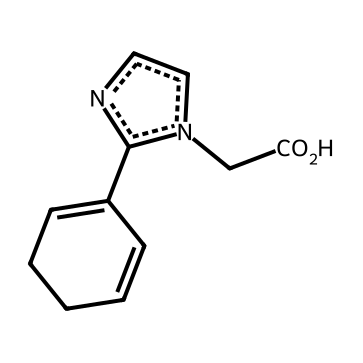 O=C(O)Cn1ccnc1C1=CCCC=C1